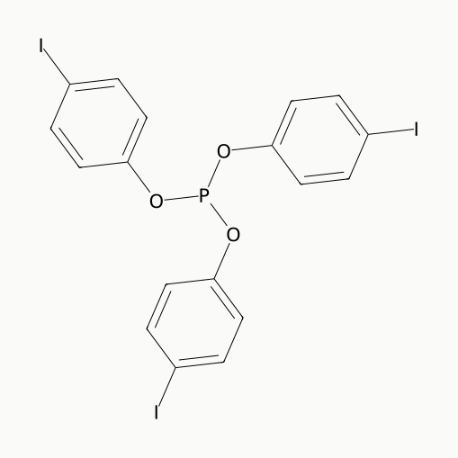 Ic1ccc(OP(Oc2ccc(I)cc2)Oc2ccc(I)cc2)cc1